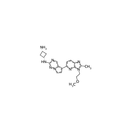 COCCn1c(C)nc2ccc(-c3ccn4nc(N[C@H]5C[C@@H](N)C5)ncc34)nc21